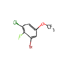 Fc1c(Cl)cc(OC(F)(F)F)cc1Br